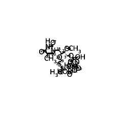 CO[C@H](COP(=O)(O)OP(=O)(O)OP(=O)(O)O)[C@H](Cn1cc(C)c(=O)[nH]c1=O)OCSSC